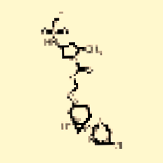 CC1CC(NS(=O)(=O)CF)CN1C(=O)OCO[C@H]1CC[C@@]2(c3ncc(Cl)cn3)C[C@H]2C1